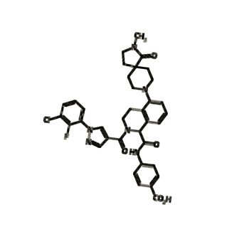 CN1CCC2(CCN(c3cccc4c3CCN(C(=O)c3cnn(-c5cccc(Cl)c5F)c3)C4C(=O)Nc3ccc(C(=O)O)cc3)CC2)C1=O